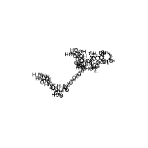 C=C1C(=O)c2c(O)c3c(c(O)c2C(=O)C/C=C\C=C/1OC)CC(C(=O)CO)C[C@@H]3OC1CC(NC(=O)O[C@H](CC2=CN(CCOCCOCCOCCNC(=O)CC[C@H](NC(=O)c3ccc(NCc4cnc5nc(N)[nH]c(=O)c5n4)cc3)C(=O)O)NN2)c2ccc(O[C@@H]3OC(CO)[C@H](O)C(O)[C@@H]3O)c([N+](=O)[O-])c2)C(O)C(C)O1